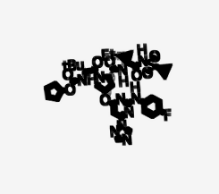 CC[C@@H]1C[C@]1(NC(=O)[C@@H]1C[C@@H](Oc2cc(-n3cncn3)nc(Nc3ccc(F)cc3)n2)CN1C(=O)[C@@H](NC(=O)OC1CCCC1)C(C)(C)C)C(=O)NS(=O)(=O)C1CC1